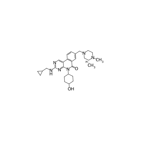 C[C@@H]1CN(Cc2ccc3c(c2)c(=O)n(C2CCC(O)CC2)c2nc(NCC4CC4)ncc32)CCN1C